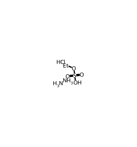 CCOS(=O)(=O)O.Cl.N.N